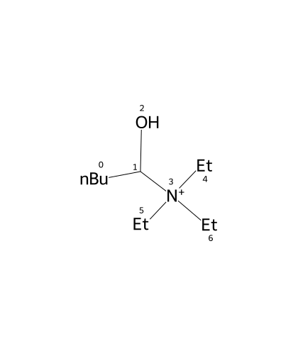 CCCCC(O)[N+](CC)(CC)CC